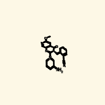 COc1cc2c(=O)n(Cc3ccccc3C#N)c(N3CCCC(N)C3)nc2cn1